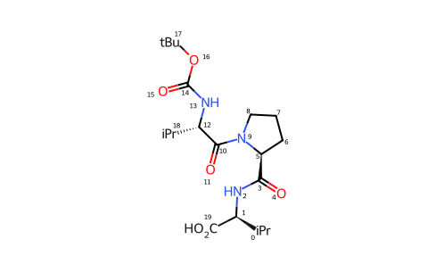 CC(C)[C@H](NC(=O)[C@@H]1CCCN1C(=O)[C@@H](NC(=O)OC(C)(C)C)C(C)C)C(=O)O